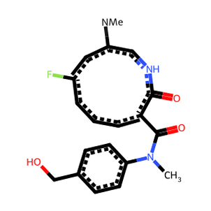 CNc1c[nH]c(=O)c(C(=O)N(C)c2ccc(CO)cc2)cccc(F)c1